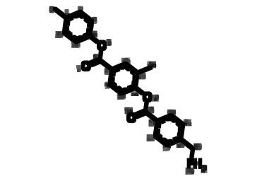 Cc1ccc(OC(=O)c2ccc(OC(=O)c3ccc(CP)cc3)c(C)c2)cc1